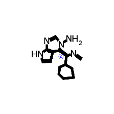 C=N/C(=C1/c2cc[nH]c2N=CN1N)C1CCCCC1